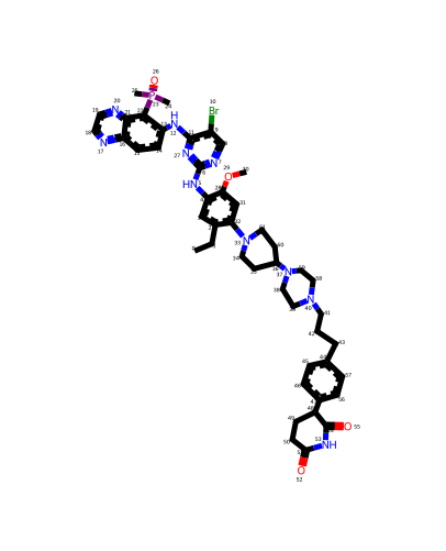 CCc1cc(Nc2ncc(Br)c(Nc3ccc4nccnc4c3P(C)(C)=O)n2)c(OC)cc1N1CCC(N2CCN(CCCc3ccc(C4CCC(=O)NC4=O)cc3)CC2)CC1